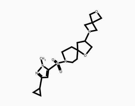 Cn1nc(C2CC2)cc1S(=O)(=O)N1CCC2(CC1)CC(N1CC3(COC3)C1)CO2